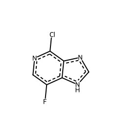 Fc1cnc(Cl)c2nc[nH]c12